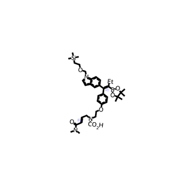 CC/C(B1OC(C)(C)C(C)(C)O1)=C(/c1ccc(OCCN(C/C=C/C(=O)N(C)C)C(=O)O)cc1)c1ccc2c(ccn2COCC[Si](C)(C)C)c1